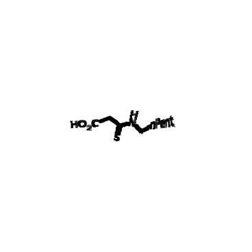 CCCCCCNC(=S)CC(=O)O